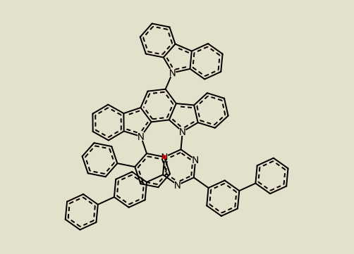 c1ccc(-c2ccc(-c3nc(-c4cccc(-c5ccccc5)c4)nc(-n4c5ccccc5c5c(-n6c7ccccc7c7ccccc76)cc6c7ccccc7n(-c7ccccc7-c7ccccc7)c6c54)n3)cc2)cc1